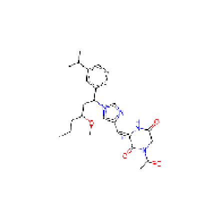 CCCC(CC(c1cccc(C(C)C)c1)n1cnc(/C=C2\NC(=O)CN(C(C)=O)C2=O)c1)OC